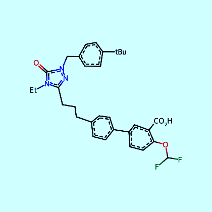 CCn1c(CCCc2ccc(-c3ccc(OC(F)F)c(C(=O)O)c3)cc2)nn(Cc2ccc(C(C)(C)C)cc2)c1=O